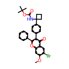 COc1cc2oc(-c3ccccc3)c(-c3ccc(C4(NC(=O)OC(C)(C)C)CCC4)cc3)c(=O)c2cc1Br